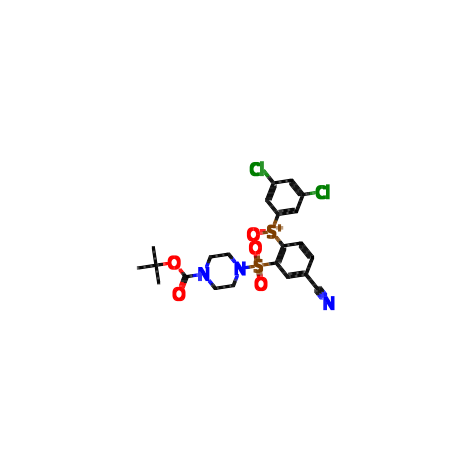 CC(C)(C)OC(=O)N1CCN(S(=O)(=O)c2cc(C#N)ccc2[S+]([O-])c2cc(Cl)cc(Cl)c2)CC1